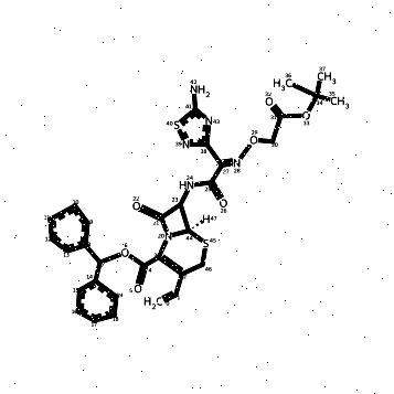 C=CC1=C(C(=O)OC(c2ccccc2)c2ccccc2)N2C(=O)C(NC(=O)/C(=N/OCC(=O)OC(C)(C)C)c3nsc(N)n3)[C@H]2SC1